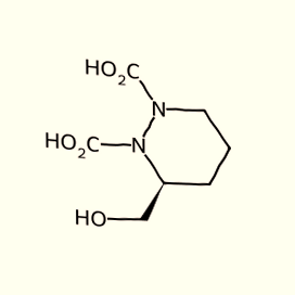 O=C(O)N1CCC[C@@H](CO)N1C(=O)O